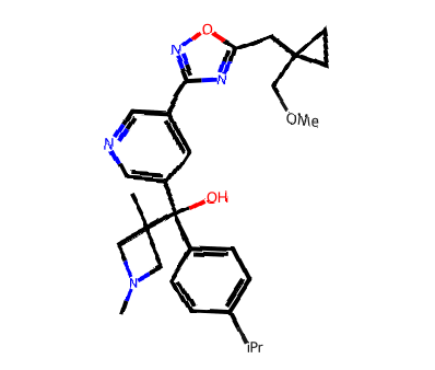 COCC1(Cc2nc(-c3cncc(C(O)(c4ccc(C(C)C)cc4)C4(C)CN(C)C4)c3)no2)CC1